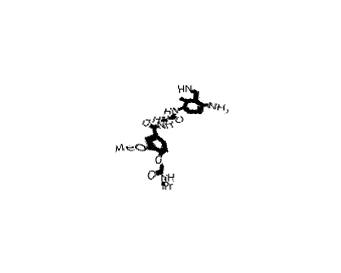 COc1cc(C(=O)NNC(=O)Nc2ccc(N)c(C=N)c2C)ccc1OCC(=O)NC(C)C